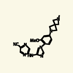 COc1cc(N2CC3(CN(C)C3)C2)ccc1-n1cnc(Nc2cnc(C#N)cn2)c1